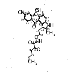 CCCCC(=O)C(=O)NOCCc1c(C)[nH]c2ccc(OC)c(C(=O)c3ccc(Cl)cc3)c12